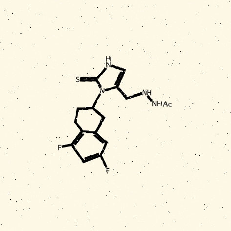 CC(=O)NNCc1c[nH]c(=S)n1C1CCc2c(F)cc(F)cc2C1